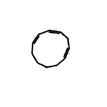 [CH]1C/C=C\C/C=C\C=C/CC1